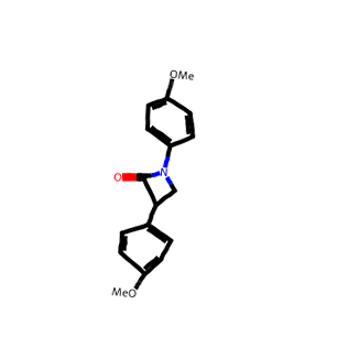 COc1ccc(C2CN(c3ccc(OC)cc3)C2=O)cc1